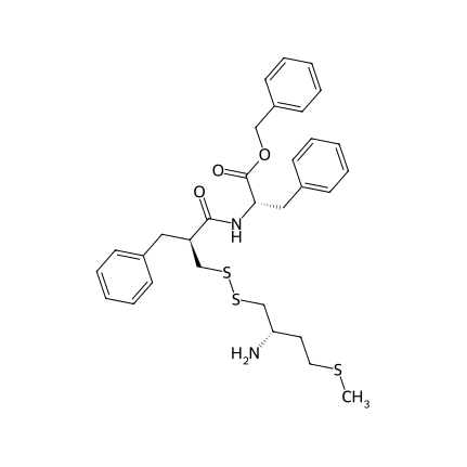 CSCC[C@H](N)CSSC[C@@H](Cc1ccccc1)C(=O)N[C@@H](Cc1ccccc1)C(=O)OCc1ccccc1